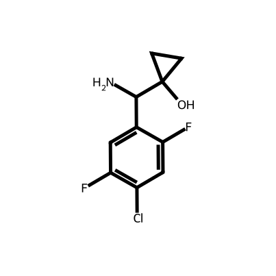 NC(c1cc(F)c(Cl)cc1F)C1(O)CC1